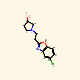 OC1CCN(CCc2nc3cc(Br)ccc3o2)C1